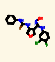 O/N=C(\Nc1ccc(F)c(Br)c1)c1cocc1NC(=S)Nc1ccccc1